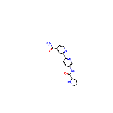 NC(=O)c1ccnc(-c2ccc(NC(=O)C3CCCN3)cn2)c1